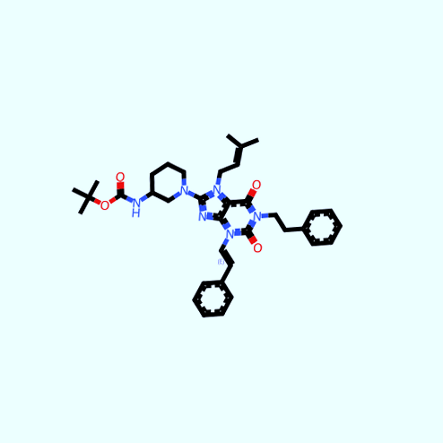 CC(C)=CCn1c(N2CCCC(NC(=O)OC(C)(C)C)C2)nc2c1c(=O)n(CCc1ccccc1)c(=O)n2/C=C/c1ccccc1